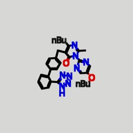 CCCCOc1cnc(-n2c(C)nc(CCCC)c(Cc3ccc(-c4ccccc4-c4nnn[nH]4)cc3)c2=O)nc1